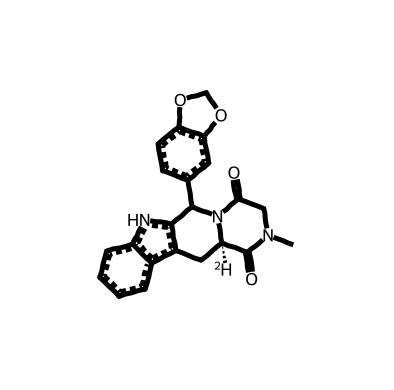 [2H][C@]12Cc3c([nH]c4ccccc34)C(c3ccc4c(c3)OCO4)N1C(=O)CN(C)C2=O